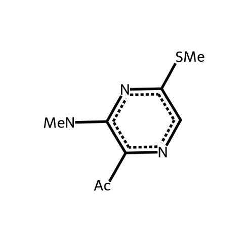 CNc1nc(SC)cnc1C(C)=O